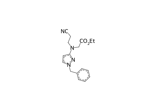 CCOC(=O)CN(CCC#N)c1ccn(Cc2ccccc2)n1